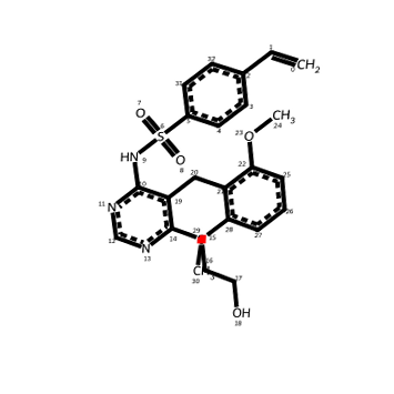 C=Cc1ccc(S(=O)(=O)Nc2ncnc(OCCO)c2Cc2c(OC)cccc2OC)cc1